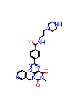 Cn1c(=O)c2nc(-c3ccc(C(=O)NCCCN4CCNCC4)cc3)nnc2n(Cc2cccnc2)c1=O